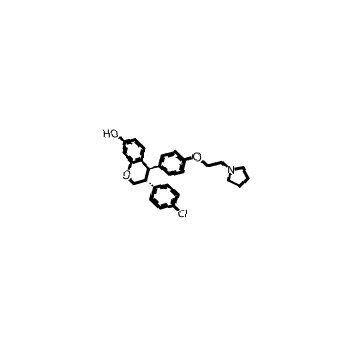 Oc1ccc2c(c1)OC[C@@H](c1ccc(Cl)cc1)[C@@H]2c1ccc(OCCN2CCCC2)cc1